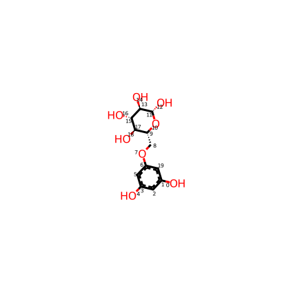 Oc1cc(O)cc(OC[C@H]2O[C@@H](O)[C@H](O)[C@@H](O)[C@@H]2O)c1